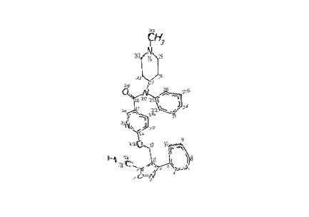 Cc1onc(-c2ccccc2)c1COc1ccc(C(=O)N(c2ccccc2)C2CCN(C)CC2)cn1